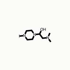 CN(C)CC(O)N1CCN(I)CC1